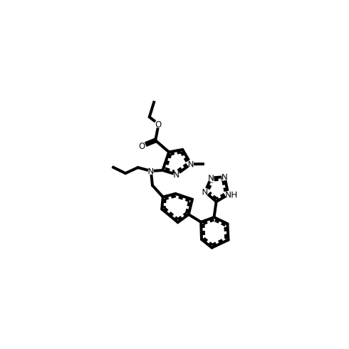 CCCN(Cc1ccc(-c2ccccc2-c2nnn[nH]2)cc1)c1nn(C)cc1C(=O)OCC